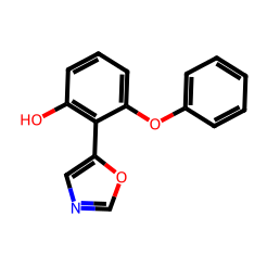 Oc1cccc(Oc2ccccc2)c1-c1cnco1